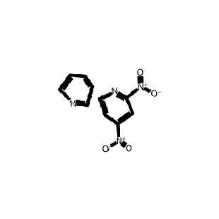 O=[N+]([O-])c1ccnc([N+](=O)[O-])c1.c1ccncc1